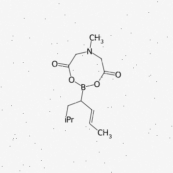 C/C=C/C(CC(C)C)B1OC(=O)CN(C)CC(=O)O1